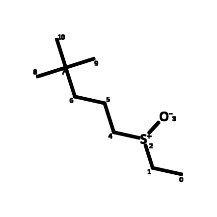 CC[S+]([O-])CCCC(C)(C)C